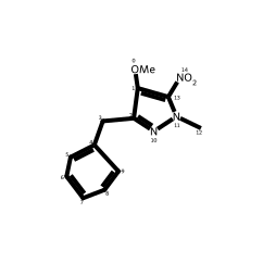 COc1c(Cc2ccccc2)nn(C)c1[N+](=O)[O-]